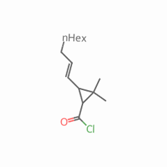 CCCCCCC/C=C/C1C(C(=O)Cl)C1(C)C